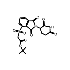 CC(C)(C)OC(=O)CS(=O)(=O)c1cccc2c1C(=O)N(C1CCC(=O)NC1=O)C2=O